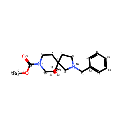 CC(C)(C)OC(=O)N1CCC2(CCN(Cc3ccccc3)C2)C2(C1)OCCO2